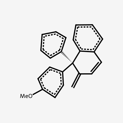 C=C1C=Cc2ccccc2[C@]1(c1ccccc1)c1ccc(OC)cc1